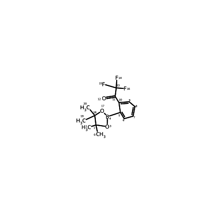 CC1(C)OB(c2ccccc2C(=O)C(F)(F)F)OC1(C)C